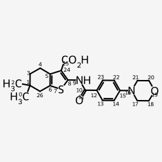 CC1(C)CCc2c(sc(NC(=O)c3ccc(N4CCOCC4)cc3)c2C(=O)O)C1